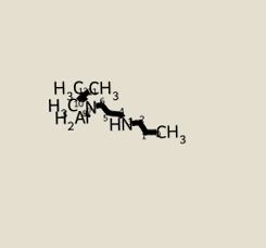 CCCNCCC[N]([AlH2])C(C)(C)C